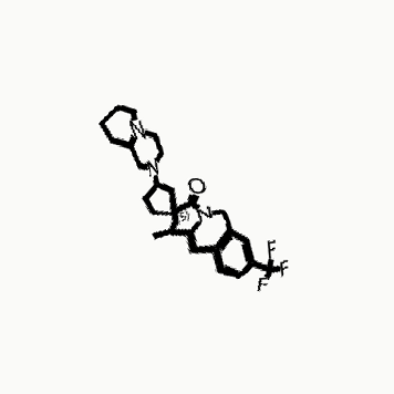 CC1C2Cc3ccc(C(F)(F)F)cc3CN2C(=O)[C@]12CCC(N1CCN3CCCCC3C1)C2